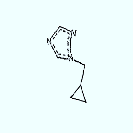 c1ncn(CC2CC2)n1